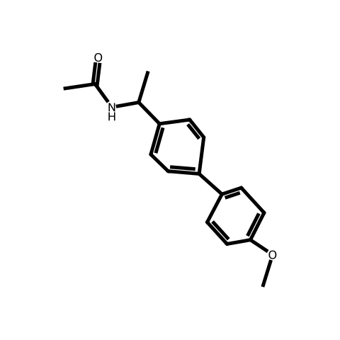 COc1ccc(-c2ccc(C(C)NC(C)=O)cc2)cc1